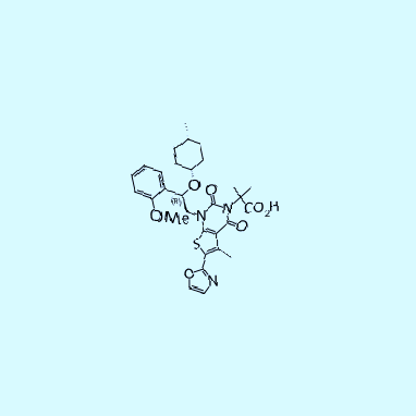 COc1ccccc1[C@H](Cn1c(=O)n(C(C)(C)C(=O)O)c(=O)c2c(C)c(-c3ncco3)sc21)O[C@H]1CC[C@@H](C)CC1